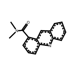 CN(C)C(=O)c1cccc2nc3ccccc3cc12